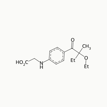 CCOC(C)(CC)C(=O)c1ccc(NCC(=O)O)cc1